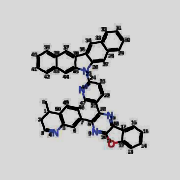 CC1CC=Nc2cc(-c3nc4oc5ccccc5c4nc3-c3ccc(-n4c5cc6ccccc6cc5c5cc6ccccc6cc54)nc3)ccc21